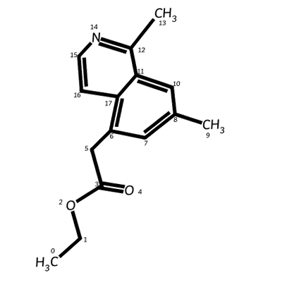 CCOC(=O)Cc1cc(C)cc2c(C)nccc12